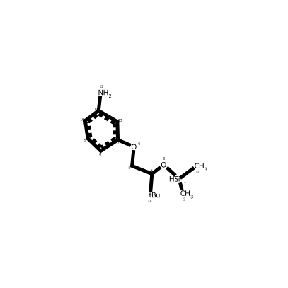 C[SiH](C)OC(COc1cccc(N)c1)C(C)(C)C